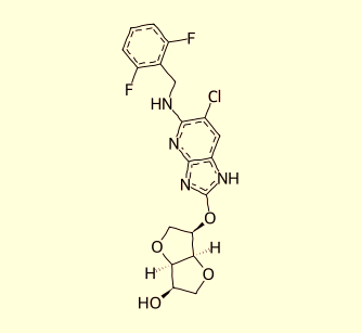 O[C@@H]1CO[C@H]2[C@@H]1OC[C@H]2Oc1nc2nc(NCc3c(F)cccc3F)c(Cl)cc2[nH]1